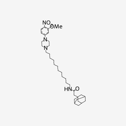 COc1cc(N2CCN(CCCCCCCCCCCCNC(=O)CC34CC5CC(CC(C5)C3)C4)CC2)ccc1[N+](=O)[O-]